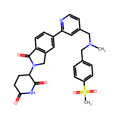 CN(Cc1ccc(S(C)(=O)=O)cc1)Cc1ccnc(-c2ccc3c(c2)CN(C2CCC(=O)NC2=O)C3=O)c1